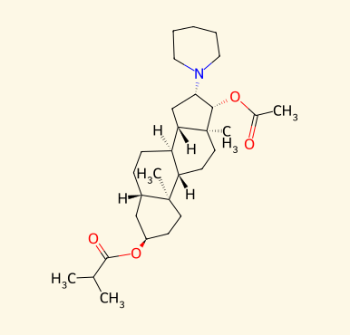 CC(=O)O[C@H]1[C@@H](N2CCCCC2)C[C@H]2[C@@H]3CC[C@H]4C[C@H](OC(=O)C(C)C)CC[C@]4(C)[C@H]3CC[C@@]21C